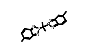 Cc1ccc2nn(C(C)(C)n3nc4ccc(C)cc4n3)nc2c1